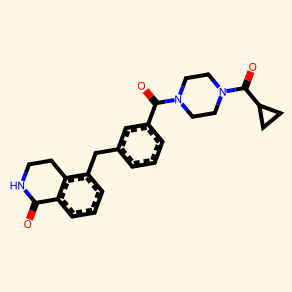 O=C1NCCc2c(Cc3cccc(C(=O)N4CCN(C(=O)C5CC5)CC4)c3)cccc21